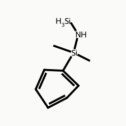 C[Si](C)(N[SiH3])c1ccccc1